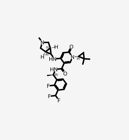 C[C@@H](NC(=O)c1cn([C@@H]2CC2(C)C)c(=O)cc1NC1[C@H]2CN(C)C[C@@H]12)c1cccc(C(F)F)c1F